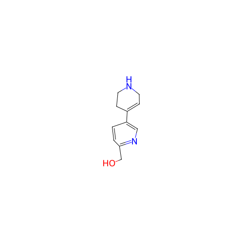 OCc1ccc(C2=CCNCC2)cn1